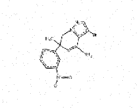 CC1(c2cccc([N+](=O)[O-])c2)Cn2ncc(Br)c2C(N)=N1